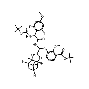 COc1cc(F)c(C(NC(=O)OC(C)(C)C)C(=O)NC(Cc2cccc(C(=O)OC(C)(C)C)c2OC)B2O[C@@H]3C[C@@H]4C[C@@H](C4(C)C)[C@]3(C)O2)c(F)c1